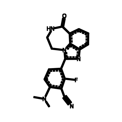 CN(C)c1ccc(-c2nc3cccc4c3n2CCNC4=O)c(F)c1C#N